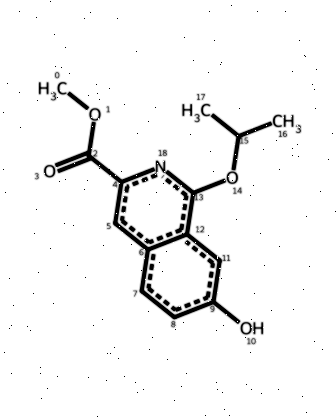 COC(=O)c1cc2ccc(O)cc2c(OC(C)C)n1